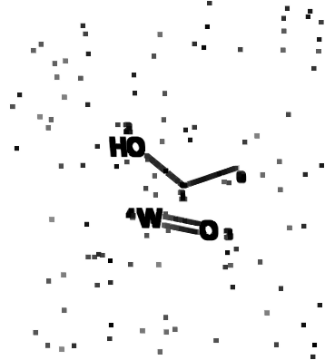 CCO.[O]=[W]